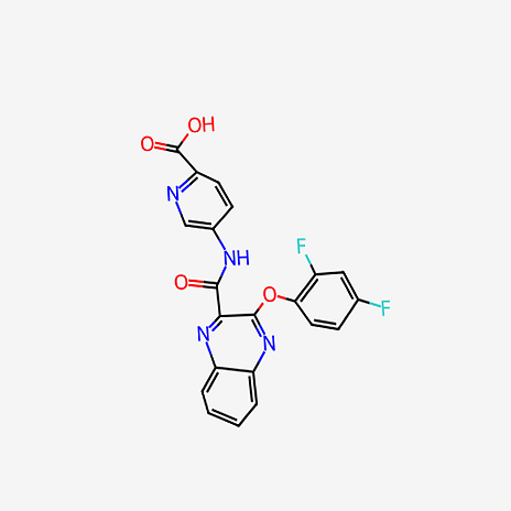 O=C(O)c1ccc(NC(=O)c2nc3ccccc3nc2Oc2ccc(F)cc2F)cn1